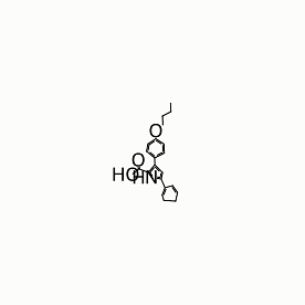 CCCCOc1ccc(-c2cc(C3=CCCC=C3)[nH]c2C(=O)O)cc1